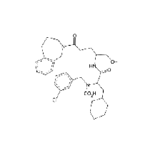 O=C(NC(CO)CCC(=O)N1CCCc2ccccc2C1)C(CC1CCCCC1)N(Cc1cccc(Cl)c1)C(=O)O